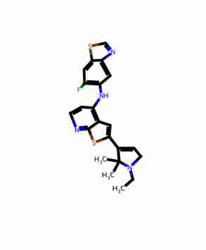 CCN1CC=C(c2cc3c(Nc4cc5ncsc5cc4F)ccnc3s2)C1(C)C